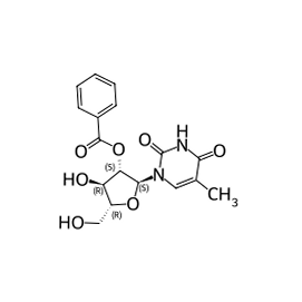 Cc1cn([C@H]2O[C@H](CO)[C@@H](O)[C@@H]2OC(=O)c2ccccc2)c(=O)[nH]c1=O